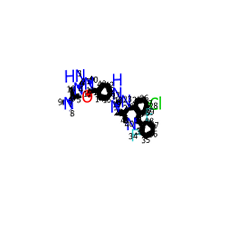 CN(C(=N)N1CC(N(C)C)C1)C(=O)c1ccc(Nc2ncc3c(n2)-c2ccc(Cl)cc2C(c2c(F)cccc2F)=NC3)cc1